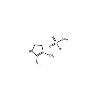 CC1=[N+](C)CCN1.COS(=O)(=O)[O-]